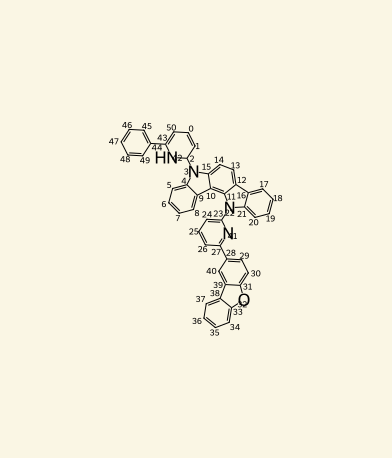 C1=CC(n2c3ccccc3c3c4c(ccc32)c2ccccc2n4-c2cccc(-c3ccc4oc5ccccc5c4c3)n2)NC(c2ccccc2)=C1